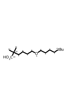 CC(C)(C)CCCCOCCCCC(C)(C)C(=O)O